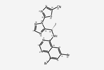 C[C@H](Nc1ncnc2c(Br)cc(Br)cc12)c1ncnn1-c1ncc(C#N)s1